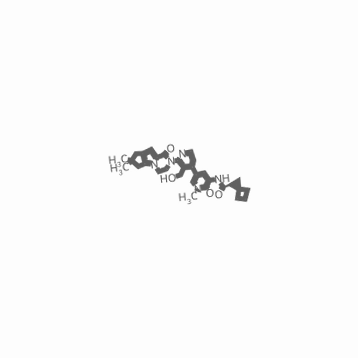 Cn1cc(-c2ccnc(N3CCn4c(cc5c4CC(C)(C)C5)C3=O)c2CO)cc(NC(=O)[C@H]2CC23CCC3)c1=O